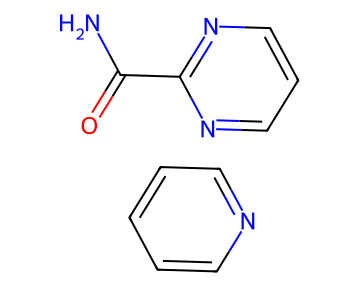 NC(=O)c1ncccn1.c1ccncc1